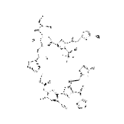 COC(=O)C(=O)c1cc(-c2cc(NCc3ccc(Cl)s3)n(C(=O)C(C)(C)C)n2)cn(CC(=O)c2ccco2)c1=O.COC(=O)Cn1cc(-c2cc(NCc3ccc(Cl)s3)n(C(=O)c3cscn3)n2)c(C#N)cc1=O